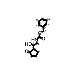 O=C(NCC(O)[C@H]1CCCC1=O)OCc1ccccc1